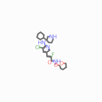 O=C(NOC1CCCCO1)/C(F)=C/c1cnc(N[C@@]2(C3CCCCC3)CCCNC2)c(Cl)c1